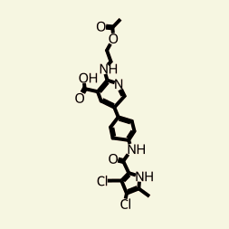 CC(=O)OCCNc1ncc(-c2ccc(NC(=O)c3[nH]c(C)c(Cl)c3Cl)cc2)cc1C(=O)O